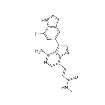 CNC(=O)C=Cc1cnc(N)c2c(-c3cc(F)c4[nH]ccc4c3)csc12